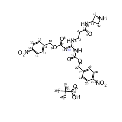 O=C(CCN/C(=N\C(=O)OCc1ccc([N+](=O)[O-])cc1)NC(=O)OCc1ccc([N+](=O)[O-])cc1)NC1CNC1.O=C(O)C(F)(F)F